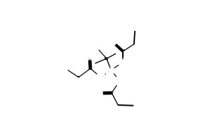 CCC(=O)[O][Sn]([O]C(=O)CC)([O]C(=O)CC)[C](C)(C)C